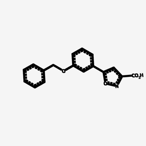 O=C(O)c1cc(-c2cccc(OCc3ccccc3)c2)on1